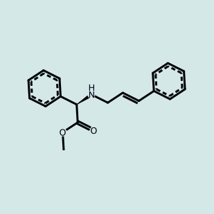 COC(=O)[C@H](NCC=Cc1ccccc1)c1ccccc1